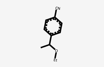 CCOC(C)c1ccc(C#N)cc1